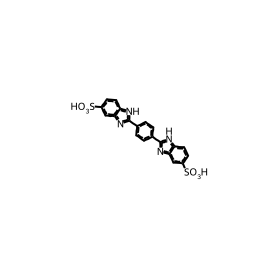 O=S(=O)(O)c1ccc2[nH]c(-c3ccc(-c4nc5cc(S(=O)(=O)O)ccc5[nH]4)cc3)nc2c1